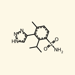 Cc1ccc(S(N)(=O)=O)c(C(C)C)c1-c1c[nH]nn1